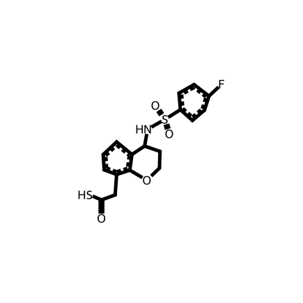 O=C(S)Cc1cccc2c1OCCC2NS(=O)(=O)c1ccc(F)cc1